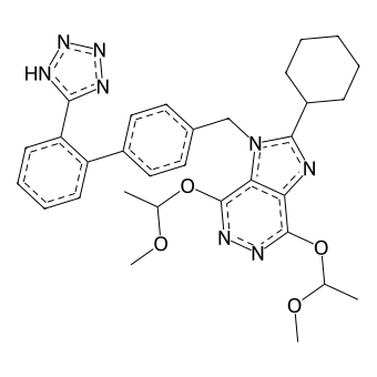 COC(C)Oc1nnc(OC(C)OC)c2c1nc(C1CCCCC1)n2Cc1ccc(-c2ccccc2-c2nnn[nH]2)cc1